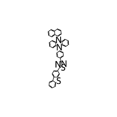 c1ccc2c(c1)N(c1ccc(-c3nsc(-c4ccc5c(c4)sc4ccccc45)n3)cc1)c1ccccc1N2c1cccc2ccccc12